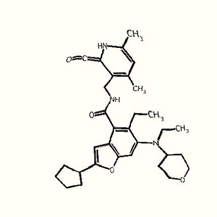 CCc1c(N(CC)C2CCOCC2)cc2oc(C3CCCC3)cc2c1C(=O)NCC1=C(C)C=C(C)NC1=C=O